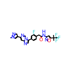 Cn1cc(-c2cc3ncc(-c4ccc(CC(=O)Nc5cc(C(C)(C)C(F)(F)F)on5)c(F)c4)n3cn2)cn1